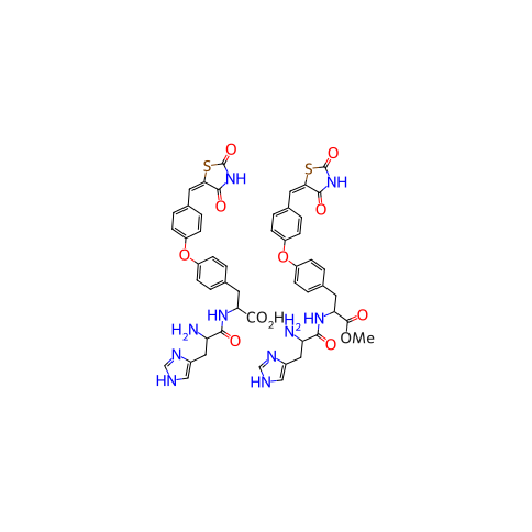 COC(=O)C(Cc1ccc(Oc2ccc(C=C3SC(=O)NC3=O)cc2)cc1)NC(=O)C(N)Cc1c[nH]cn1.NC(Cc1c[nH]cn1)C(=O)NC(Cc1ccc(Oc2ccc(C=C3SC(=O)NC3=O)cc2)cc1)C(=O)O